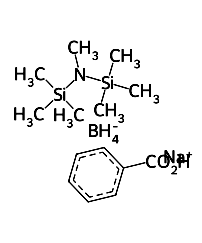 CN([Si](C)(C)C)[Si](C)(C)C.O=C(O)c1ccccc1.[BH4-].[Na+]